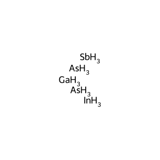 [AsH3].[AsH3].[GaH3].[InH3].[SbH3]